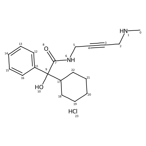 CNCC#CCNC(=O)C(O)(c1ccccc1)C1CCCCC1.Cl